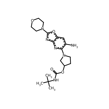 CC(C)(C)NC(=O)OC1CCN(c2nc3nc(N4CCOCC4)oc3cc2N)C1